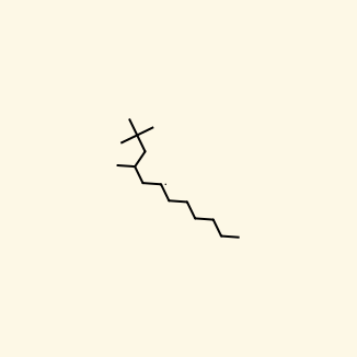 CCCCCC[CH]CC(C)CC(C)(C)C